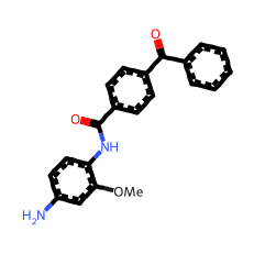 COc1cc(N)ccc1NC(=O)c1ccc(C(=O)c2ccccc2)cc1